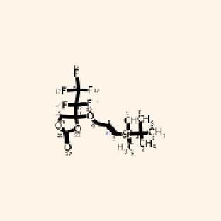 CC(C)(C)[Si](C)(C)/C=C/COC1(C(F)(F)C(F)(F)F)COC(=O)O1